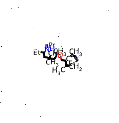 C=C(C)C(=C=C(C)/C=C\CC)COC(C)CC(C)(C)CC(CC)NCCC